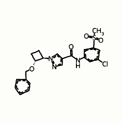 CS(=O)(=O)c1cc(Cl)cc(NC(=O)c2cnn([C@@H]3CC[C@H]3OCc3ccccc3)c2)c1